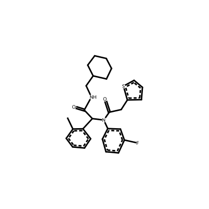 Cc1ccccc1C(C(=O)NCC1CCCCC1)N(C(=O)Cc1cccs1)c1cccc(F)c1